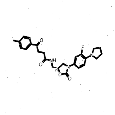 Cc1ccc(C(=O)CCC(=O)NC[C@H]2CN(c3ccc(N4CCCC4)c(F)c3)C(=O)O2)cc1